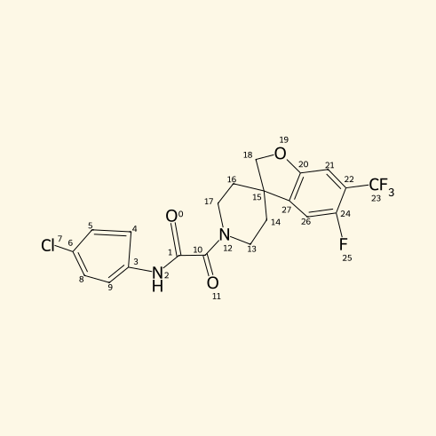 O=C(Nc1ccc(Cl)cc1)C(=O)N1CCC2(CC1)COc1cc(C(F)(F)F)c(F)cc12